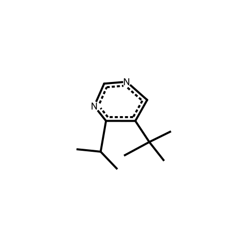 CC(C)c1ncncc1C(C)(C)C